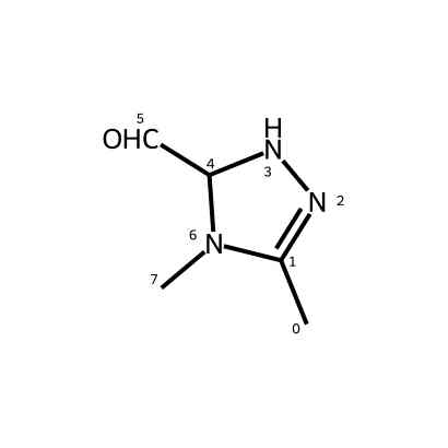 CC1=NNC(C=O)N1C